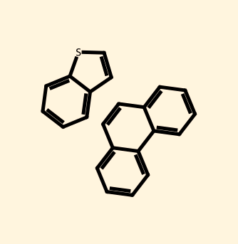 c1ccc2c(c1)ccc1ccccc12.c1ccc2sccc2c1